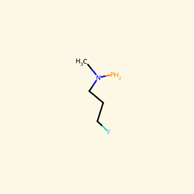 CN(P)CCCF